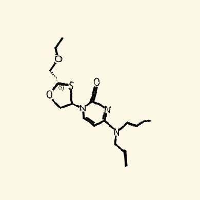 CCCN(CCC)c1ccn(C2CO[C@H](COCC)S2)c(=O)n1